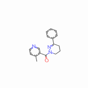 Cc1ccncc1C(=O)N1CCCC(c2ccccc2)=N1